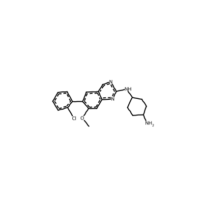 COc1cc2nc(NC3CCC(N)CC3)ncc2cc1-c1ccccc1Cl